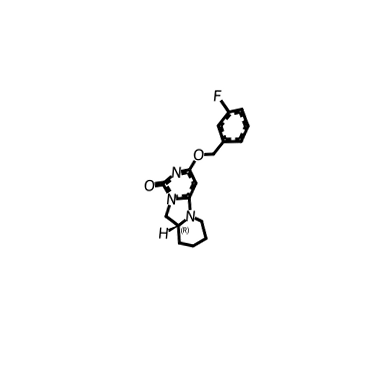 O=c1nc(OCc2cccc(F)c2)cc2n1C[C@H]1CCCCN21